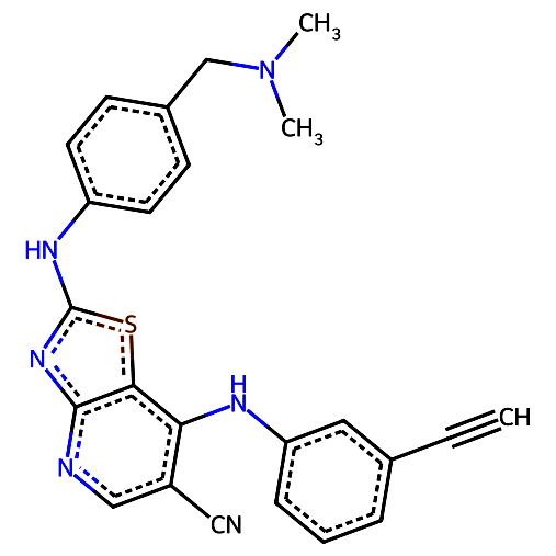 C#Cc1cccc(Nc2c(C#N)cnc3nc(Nc4ccc(CN(C)C)cc4)sc23)c1